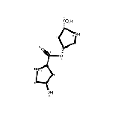 O=C(O)[C@H]1C[C@@H](OC(=O)[C@H]2C[C@@H](O)CN2)CN1